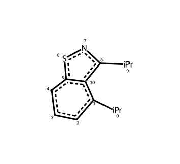 CC(C)c1cccc2snc(C(C)C)c12